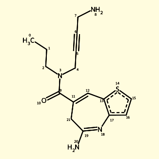 CCCN(CC#CCN)C(=O)C1=Cc2sccc2N=C(N)C1